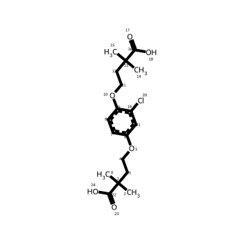 CC(C)(CCOc1ccc(OCCC(C)(C)C(=O)O)c(Cl)c1)C(=O)O